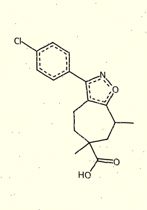 CC1CC(C)(C(=O)O)CCc2c(-c3ccc(Cl)cc3)noc21